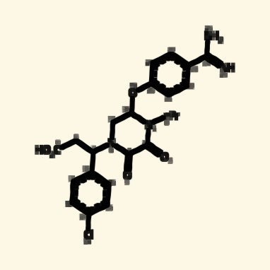 CCCN1C(=O)C(=O)N(C(CC(=O)O)c2ccc(Cl)cc2)CC1Oc1ccc(C(=N)N)cc1